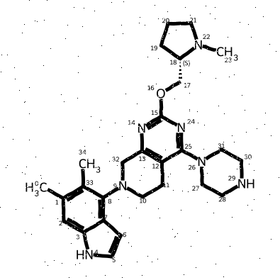 Cc1cc2[nH]ccc2c(N2CCc3c(nc(OC[C@@H]4CCCN4C)nc3N3CCNCC3)C2)c1C